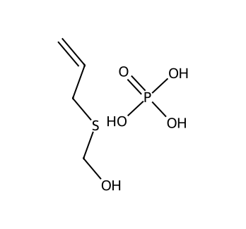 C=CCSCO.O=P(O)(O)O